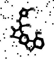 COc1cccc(F)c1-c1cc2c(cc1C#N)NC(=O)/C2=C(/C)Nc1cnn(C)c1